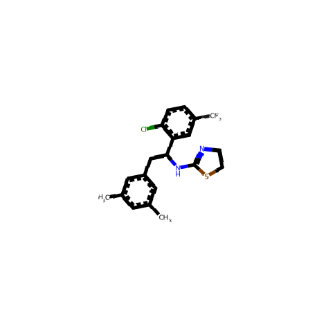 Cc1cc(C)cc(CC(NC2=NCCS2)c2cc(C(F)(F)F)ccc2Cl)c1